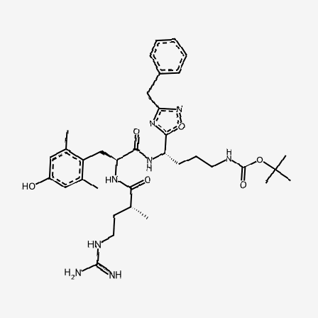 Cc1cc(O)cc(C)c1C[C@H](NC(=O)[C@H](C)CCNC(=N)N)C(=O)N[C@@H](CCCNC(=O)OC(C)(C)C)c1nc(Cc2ccccc2)no1